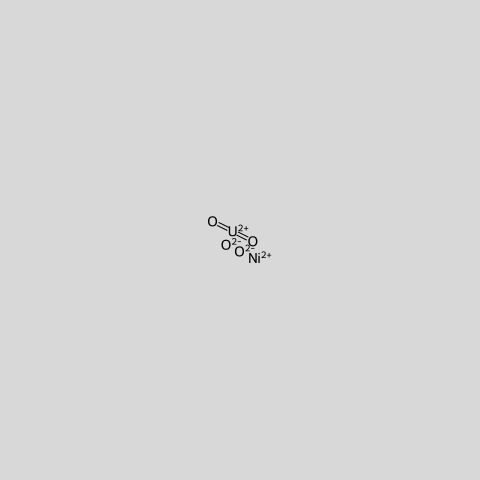 [Ni+2].[O-2].[O-2].[O]=[U+2]=[O]